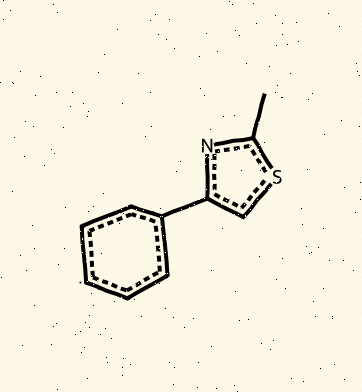 Cc1nc(-c2cc[c]cc2)cs1